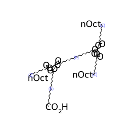 CCCCCCCC/C=C\CCCCCCCC(=O)OCC(COC(=O)CCCCCCC/C=C\CCCCCCCC)OC(=O)CCCCCCC/C=C/CCCCCCCC(=O)OCC(COC(=O)CCCCCCC/C=C\CCCCCCCC)OC(=O)CCCCCCC/C=C/CCCCCCCC(=O)O